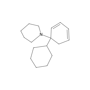 C1=CCC(C2CCCCC2)(N2CCCCC2)C=C1